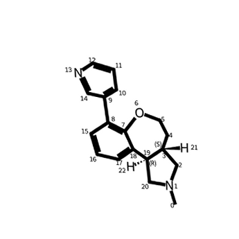 CN1C[C@H]2CCOc3c(-c4cccnc4)cccc3[C@@H]2C1